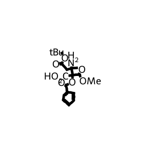 COC(=O)C(OC(=O)c1ccccc1)(C(=O)O)C(C)(N)CC(=O)OC(C)(C)C